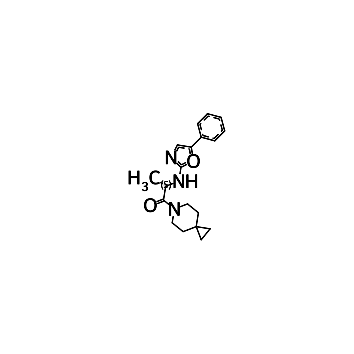 C[C@H](Nc1ncc(-c2ccccc2)o1)C(=O)N1CCC2(CC1)CC2